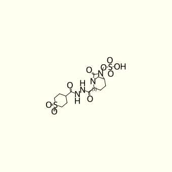 O=C(NNC(=O)[C@@H]1CCC2CN1C(=O)N2OS(=O)(=O)O)C1CCS(=O)(=O)CC1